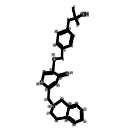 CC(C)(O)Cc1ccc(COc2coc(CN3CCc4ccccc4C3)cc2=O)cc1